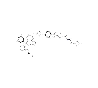 COC(=O)N[C@H]1CCC[C@@H]1C(CN1CCC1)(c1cccc(F)c1)C1CCN(CC2CN(c3ccc(S(=O)(=O)C4CN(C(=O)/C=C/CN5CCC5)C4)cc3)C2)CC1